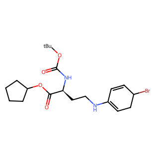 CC(C)(C)OC(=O)N[C@@H](CCNC1=CCC(Br)C=C1)C(=O)OC1CCCC1